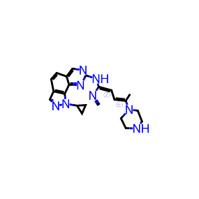 C=N/C(=C\C=C(/C)N1CCNCC1)Nc1ncc2ccc3cnn(C4CC4)c3c2n1